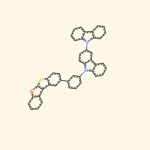 c1cc(-c2ccc3sc4oc5ccccc5c4c3c2)cc(-n2c3ccccc3c3cc(-n4c5ccccc5c5ccccc54)ccc32)c1